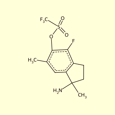 Cc1cc2c(c(F)c1OS(=O)(=O)C(F)(F)F)CCC2(C)N